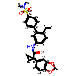 C=Cc1ccc(NC(=O)C2(c3ccc4c(c3)OCO4)CC2)cc1-c1ccc(S(=O)(=O)N(C)C)cc1